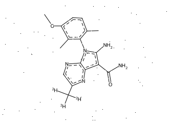 [2H]C([2H])([2H])c1cnc2c(n1)c(C(N)=O)c(N)n2-c1c(C)ccc(OC)c1C